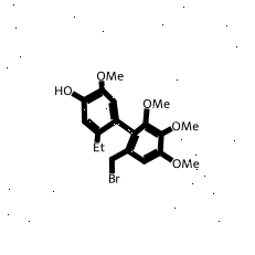 CCc1cc(O)c(OC)cc1-c1c(CBr)cc(OC)c(OC)c1OC